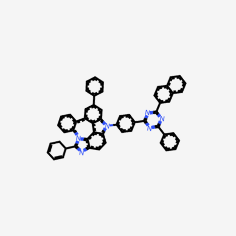 C1=CCC(c2nc3ccc4c5c6c(cc(-c7ccccc7)cc6n4-c4ccc(-c6nc(-c7ccccc7)nc(-c7ccc8ccccc8c7)n6)cc4)c4ccccc4n2c35)C=C1